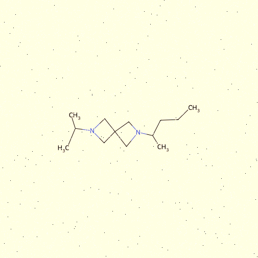 CCCC(C)N1CC2(CN(C(C)C)C2)C1